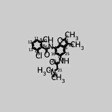 Cc1oc2c(NC(=O)c3c(Cl)cccc3Cl)cc(NC(=O)CN(C)C)cc2c1C